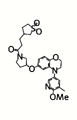 COc1ncc(N2CCOc3ccc(O[C@H]4CCN(C(=O)CCC5CCS(=O)(=O)C5)C4)cc32)cc1C